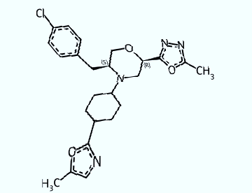 Cc1cnc(C2CCC(N3C[C@H](c4nnc(C)o4)OC[C@@H]3Cc3ccc(Cl)cc3)CC2)o1